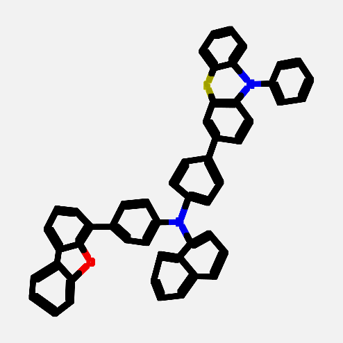 c1ccc(N2c3ccccc3Sc3cc(-c4ccc(N(c5ccc(-c6cccc7c6oc6ccccc67)cc5)c5cccc6ccccc56)cc4)ccc32)cc1